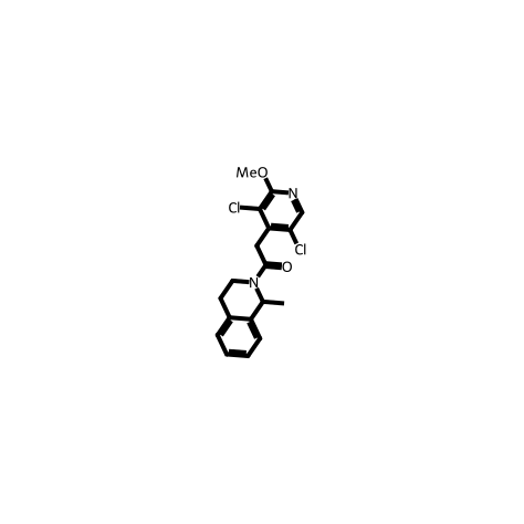 COc1ncc(Cl)c(CC(=O)N2CCc3ccccc3C2C)c1Cl